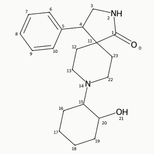 O=C1NCC(c2ccccc2)C12CCN(C1CCCCC1O)CC2